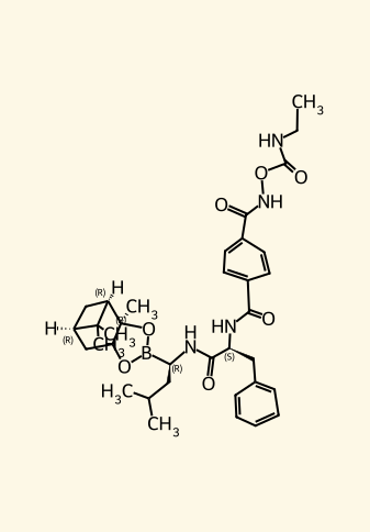 CCNC(=O)ONC(=O)c1ccc(C(=O)N[C@@H](Cc2ccccc2)C(=O)N[C@@H](CC(C)C)B2OC3C[C@H]4C[C@H](C4(C)C)[C@@]3(C)O2)cc1